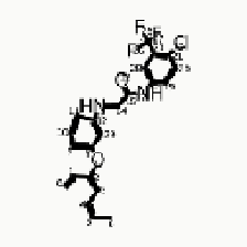 C=C/C(=C\C=C/C)Oc1cccc(NCC(=O)Nc2ccc(Cl)c(C(F)(F)F)c2)c1